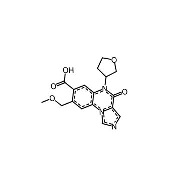 COCc1cc2c(cc1C(=O)O)n(C1CCOC1)c(=O)c1cncn12